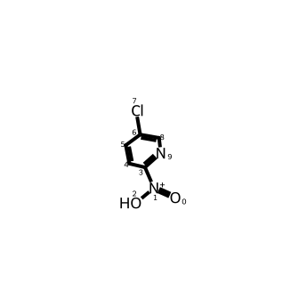 O=[N+](O)c1ccc(Cl)cn1